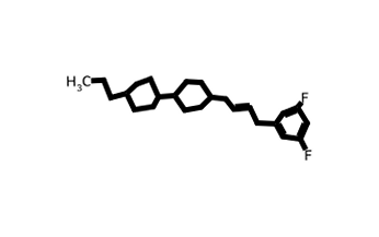 CCCC1CCC(C2CCC(CC=CCc3cc(F)cc(F)c3)CC2)CC1